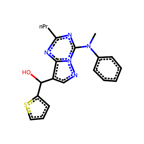 CCCc1nc(N(C)c2ccccc2)n2ncc(C(O)c3cccs3)c2n1